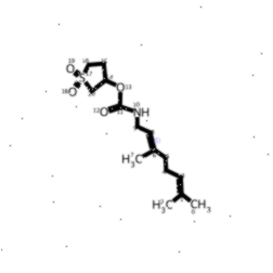 CC(C)=CCC/C(C)=C/CNC(=O)OC1CCS(=O)(=O)C1